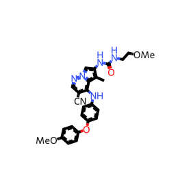 COCCNC(=O)Nc1cn2ncc(C#N)c(Nc3ccc(Oc4ccc(OC)cc4)cc3)c2c1C